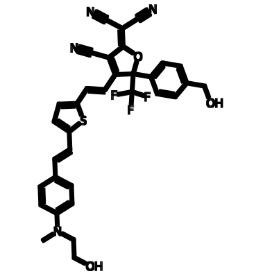 CN(CCO)c1ccc(C=Cc2ccc(C=CC3=C(C#N)C(=C(C#N)C#N)OC3(c3ccc(CO)cc3)C(F)(F)F)s2)cc1